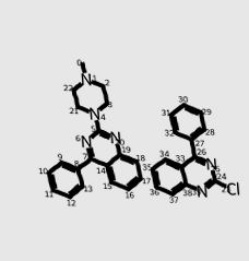 CN1CCN(c2nc(-c3ccccc3)c3ccccc3n2)CC1.Clc1nc(-c2ccccc2)c2ccccc2n1